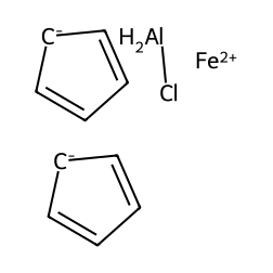 [AlH2][Cl].[Fe+2].c1cc[cH-]c1.c1cc[cH-]c1